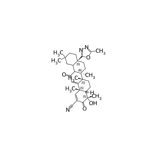 Cc1nnc([C@]23CCC(C)(C)CC2C2C(=O)C=C4[C@@]5(C)C=C(C#N)C(=O)[C@@](C)(O)[C@@H]5CC[C@@]4(C)[C@]2(C)CC3)o1